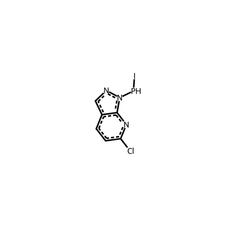 Clc1ccc2cnn(PI)c2n1